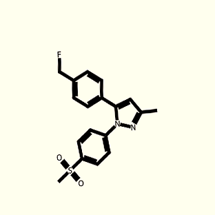 Cc1cc(-c2ccc(CF)cc2)n(-c2ccc(S(C)(=O)=O)cc2)n1